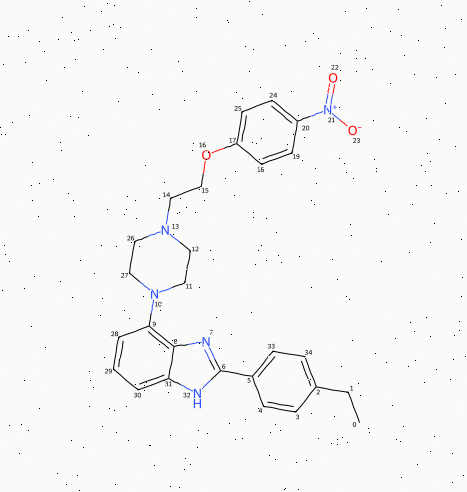 CCc1ccc(-c2nc3c(N4CCN(CCOc5ccc([N+](=O)[O-])cc5)CC4)cccc3[nH]2)cc1